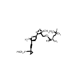 Cc1nc(-c2nnn(C)c2COC(=O)N(C)CCC(C)(C)F)ccc1C#CC1(CC(=O)O)CC1